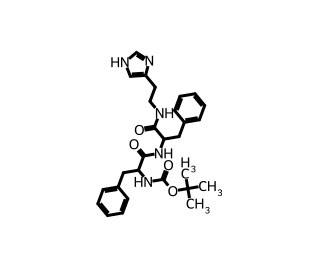 CC(C)(C)OC(=O)NC(Cc1ccccc1)C(=O)NC(Cc1ccccc1)C(=O)NCCc1c[nH]cn1